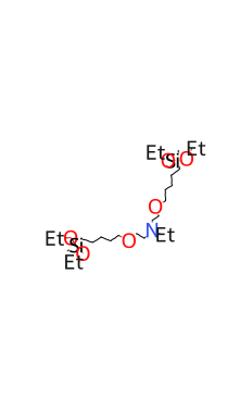 CCO[Si](C)(CCCCCOCCN(CC)CCOCCCCC[Si](C)(OCC)OCC)OCC